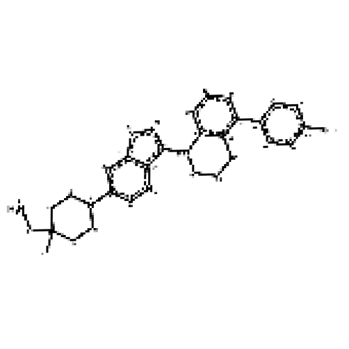 CC1(CN)CCN(c2cnc3c(N4CCCc5c(-c6ccc(F)cc6)cccc54)n[nH]c3n2)CC1